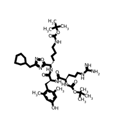 Cc1cc(O)cc(C)c1C[C@H](NC(=O)[C@@H](CCCNC(=N)N)NC(=O)OC(C)(C)C)C(=O)N[C@@H](CCCCNC(=O)OC(C)(C)C)c1nc(CC2CCCCC2)no1